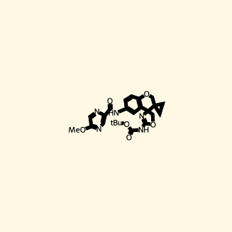 COc1cnc(C(=O)Nc2ccc3c(c2)C2(COC(NC(=O)OC(C)(C)C)=N2)C2(CC2)CO3)cn1